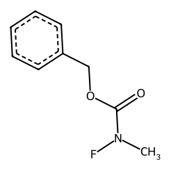 CN(F)C(=O)OCc1ccccc1